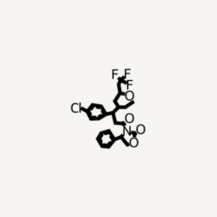 O=C(CC(c1ccc(Cl)cc1)C1CCOC(CC(F)(F)F)C1)N1C(=O)OCC1c1ccccc1